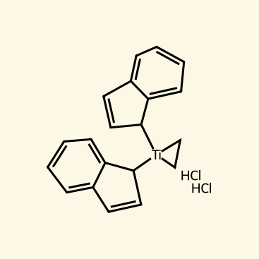 C1=C[CH]([Ti]2([CH]3C=Cc4ccccc43)[CH2][CH2]2)c2ccccc21.Cl.Cl